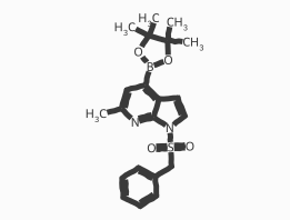 Cc1cc(B2OC(C)(C)C(C)(C)O2)c2ccn(S(=O)(=O)Cc3ccccc3)c2n1